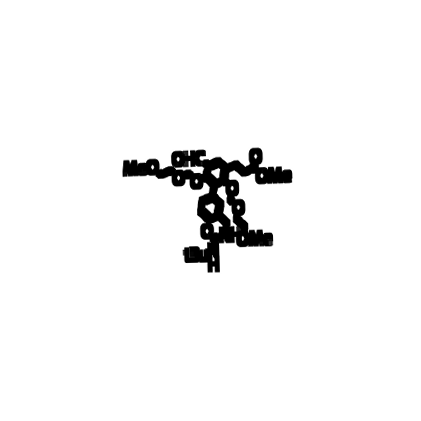 COCCOCOc1c(C=O)cc(CCC(=O)OC)c(OCOCCOC)c1-c1cccc(CNC(=O)NC(C)(C)C)c1